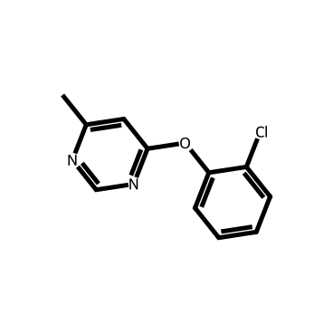 Cc1cc(Oc2ccccc2Cl)ncn1